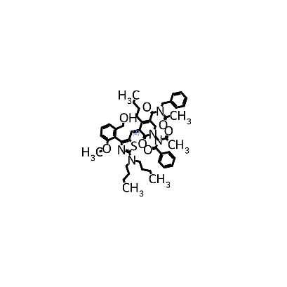 CCCCC1=C(C(=O)N(Cc2ccccc2)C(C)=O)CN(N(C(C)=O)C(=O)c2ccccc2)C(=O)/C1=C\c1sc(N(CCCC)CCCC)nc1-c1c(CO)cccc1OC